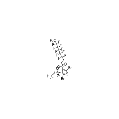 C=CS(=O)(=O)c1c(Br)sc(Br)c1S(=O)(=O)CCC(F)(F)C(F)(F)C(F)(F)C(F)(F)C(F)(F)C(F)(F)F